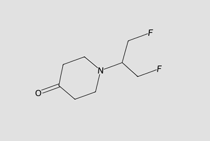 O=C1CCN(C(CF)CF)CC1